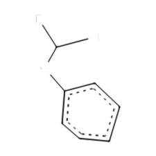 FC(Cl)Oc1ccccc1